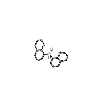 O=[PH](c1cccc2cccnc12)c1cccc2cccnc12